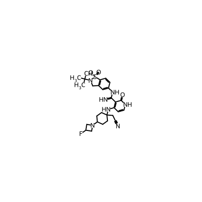 CC(C)(C)N1Cc2cc(NC(=N)c3c(NC4(CC#N)CCC(N5CC(F)C5)CC4)cc[nH]c3=O)ccc2S1(=O)=O